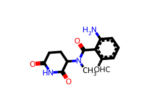 CN(C(=O)c1c(N)cccc1C=O)C1CCC(=O)NC1=O